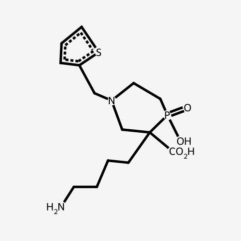 NCCCCC1(C(=O)O)CN(Cc2cccs2)CCP1(=O)O